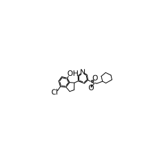 O=S(=O)(CC1CCCCC1)c1cncc(C2CCc3c(Cl)ccc(O)c32)c1